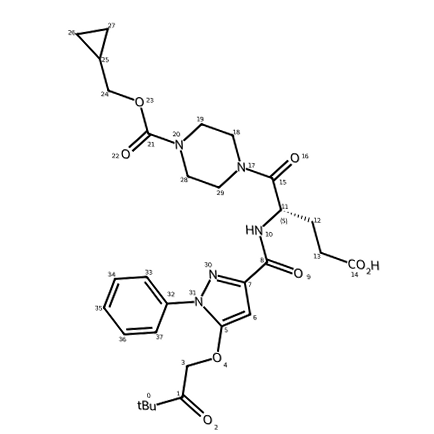 CC(C)(C)C(=O)COc1cc(C(=O)N[C@@H](CCC(=O)O)C(=O)N2CCN(C(=O)OCC3CC3)CC2)nn1-c1ccccc1